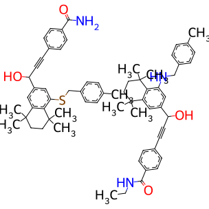 CCNC(=O)c1ccc(C#CC(O)c2cc(NCc3ccc(C)cc3)c3c(c2)C(C)(C)CCC3(C)C)cc1.Cc1ccc(CSc2cc(C(O)C#Cc3ccc(C(N)=O)cc3)cc3c2C(C)(C)CCC3(C)C)cc1